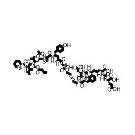 CCCC(=O)OCN(C(=O)[C@@H](NC(=O)[C@H]1CCCCN1C)C(C)CC)[C@H](C[C@@H](OC(C)=O)c1nc(C(=O)N[C@@H](Cc2ccc(O)cc2)C[C@H](C)C(=O)NNC(=O)OCCSSC[C@@H](C)NC(=O)[C@H](Cc2ccccc2)NC(=O)[C@H](CC(=O)O)NC(=O)NCCCC[C@H](NC(=O)N[C@@H](CCC(=O)O)C(=O)O)C(=O)O)cs1)C(C)C